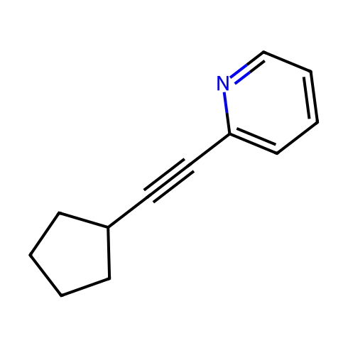 C(#CC1CCCC1)c1ccccn1